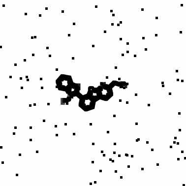 CC(C)Cc1ccc2c(n1)oc1c(-c3nc4ccccc4n3C(C)C)cccc12